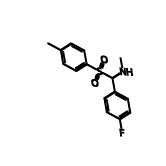 CNC(c1ccc(F)cc1)S(=O)(=O)c1ccc(C)cc1